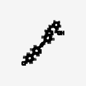 OC[C@@H]1CCCN1Cc1cc2cc(C#Cc3ccc(-c4ccc(Cl)cc4)cn3)ccc2s1